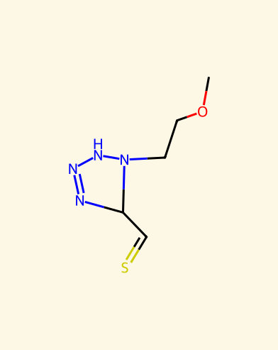 COCCN1NN=NC1C=S